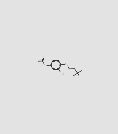 CC(C)C(=O)Nc1ccc(NCCC(C)(C)O)c(N)c1